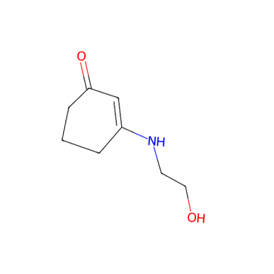 O=C1C=C(NCCO)CCC1